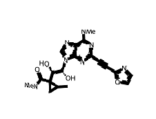 CNC(=O)C1([C@@H](O)[C@@H](O)n2cnc3c(NC)nc(C#Cc4ncco4)nc32)CC1C